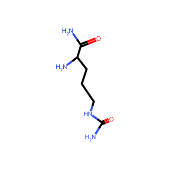 NC(=O)NCCCC(N)C(N)=O